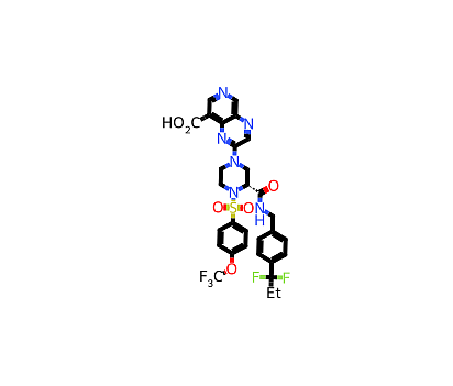 CCC(F)(F)c1ccc(CNC(=O)[C@H]2CN(c3cnc4cncc(C(=O)O)c4n3)CCN2S(=O)(=O)c2ccc(OC(F)(F)F)cc2)cc1